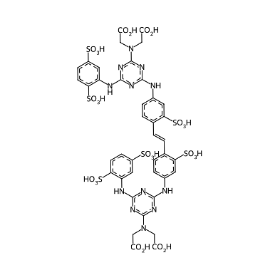 O=C(O)CN(CC(=O)O)c1nc(Nc2ccc(/C=C/c3ccc(Nc4nc(Nc5cc(S(=O)(=O)O)ccc5S(=O)(=O)O)nc(N(CC(=O)O)CC(=O)O)n4)cc3S(=O)(=O)O)c(S(=O)(=O)O)c2)nc(Nc2cc(S(=O)(=O)O)ccc2S(=O)(=O)O)n1